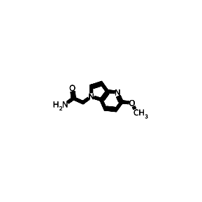 COc1ccc2c(ccn2CC(N)=O)n1